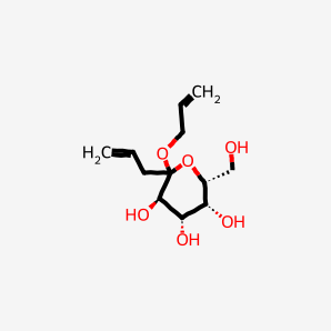 C=CCOC1(CC=C)O[C@H](CO)[C@H](O)[C@H](O)[C@H]1O